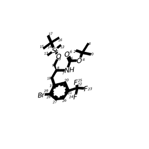 CC(C)(C)OC(=O)N[C@H](CO[Si](C)(C)C(C)(C)C)Cc1cc(C(F)(F)F)ccc1Br